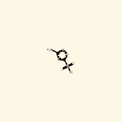 CCS(=O)(=O)c1nsc(N)n1